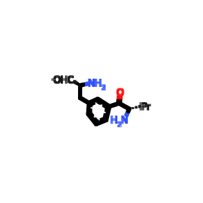 CC(C)[C@H](N)C(=O)c1cccc(C[C@H](N)[C]=O)c1